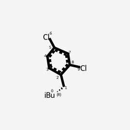 CC[C@@H](C)Cc1ccc(Cl)cc1Cl